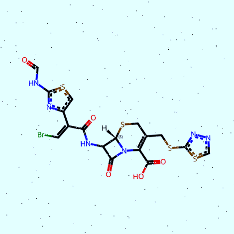 O=CNc1nc(C(=CBr)C(=O)NC2C(=O)N3C(C(=O)O)=C(CSc4nncs4)CS[C@@H]23)cs1